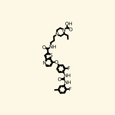 CCC1CN(CCCNC(=O)c2cc3nccc(Oc4ccc(NC(=O)Nc5cc(C)ccc5F)c(F)c4)c3s2)CCN1C(=O)O